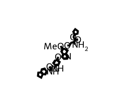 COc1cc2c(Oc3ccc(NC(=O)Nc4ccc5c(c4)CCC5)cc3)ccnc2cc1OCCC(N)C(=O)OC1CCCC1